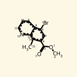 COC(=O)c1cc(Br)c2cccnc2c1C